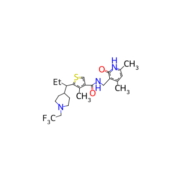 CCC(c1scc(C(=O)NCc2c(C)cc(C)[nH]c2=O)c1C)C1CCN(CC(F)(F)F)CC1